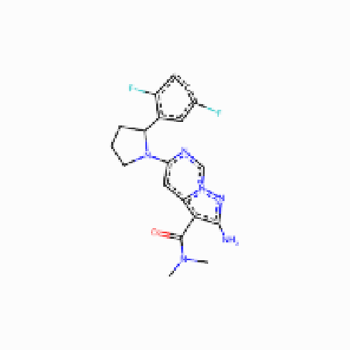 CN(C)C(=O)c1c(N)nn2cnc(N3CCCC3c3cc(F)ccc3F)cc12